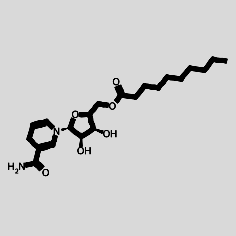 CCCCCCCCCC(=O)OCC1O[C@@H](N2C=CCC(C(N)=O)=C2)[C@H](O)[C@@H]1O